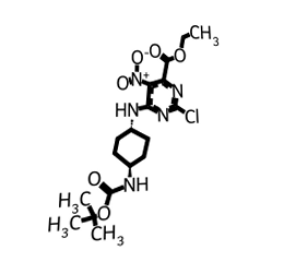 CCOC(=O)c1nc(Cl)nc(N[C@H]2CC[C@H](NC(=O)OC(C)(C)C)CC2)c1[N+](=O)[O-]